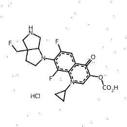 Cl.O=C(O)Oc1cn(C2CC2)c2c(F)c(N3CCC4(CF)CNCC34)c(F)cc2c1=O